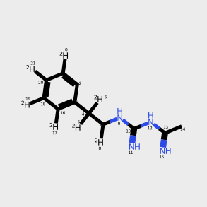 [2H]c1cc(C([2H])([2H])C([2H])NC(=N)NC(C)=N)c([2H])c([2H])c1[2H]